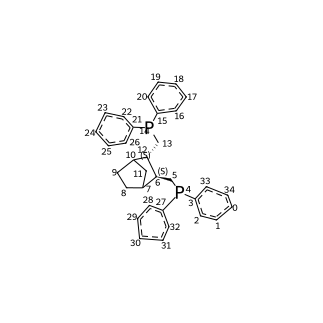 c1ccc(P(C[C@H]2C3CCC(C3)[C@@H]2CP(c2ccccc2)c2ccccc2)c2ccccc2)cc1